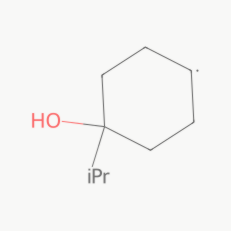 CC(C)C1(O)CC[CH]CC1